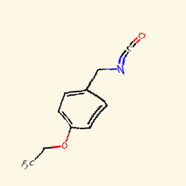 O=C=NCc1ccc(OCC(F)(F)F)cc1